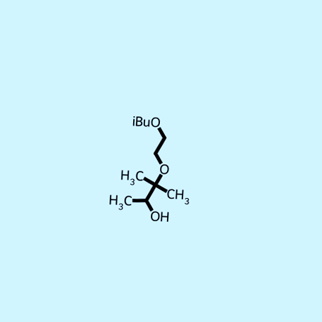 CC(C)COCCOC(C)(C)C(C)O